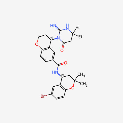 CCC1(CC)CC(=O)N([C@@H]2CCOc3ccc(C(=O)N[C@H]4CC(C)(C)Oc5ccc(Br)cc54)cc32)C(=N)N1